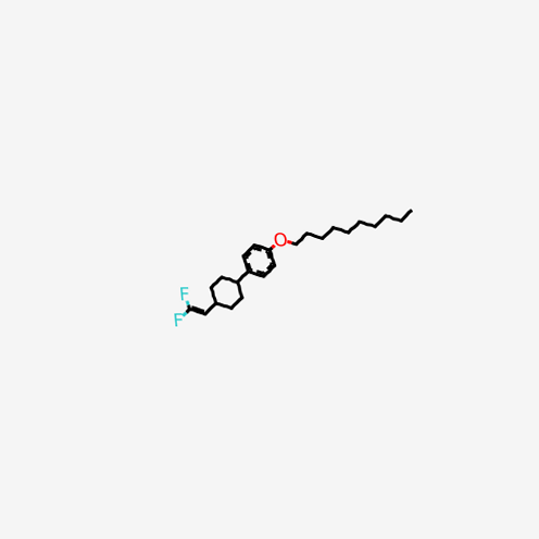 CCCCCCCCCCOc1ccc(C2CCC(C=C(F)F)CC2)cc1